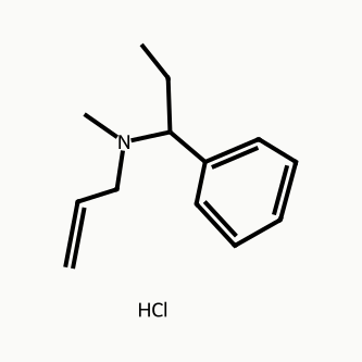 C=CCN(C)C(CC)c1ccccc1.Cl